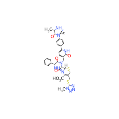 CC(=O)N(C(=O)C(C)N)c1ccc(-c2ccc(CN(C(=O)C(N)c3ccccc3)C3C(=O)N4C(C(=O)O)=C(CSc5nnnn5C)CS[C@@H]34)c(=O)[nH]2)cc1